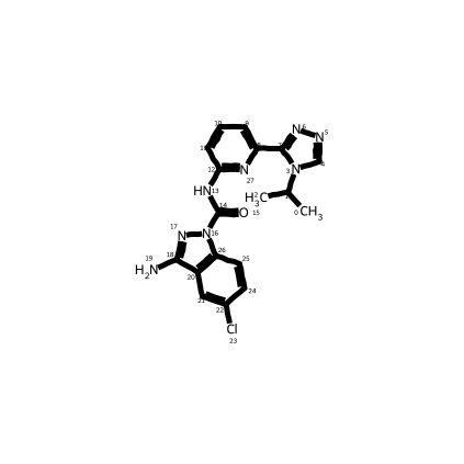 CC(C)n1cnnc1-c1cccc(NC(=O)n2nc(N)c3cc(Cl)ccc32)n1